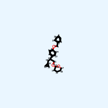 c1ccc(COc2ccc(C(COC3CCCCO3)CC3CC3)cc2)cc1